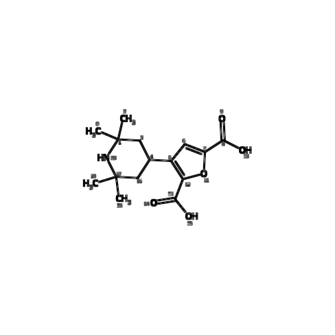 CC1(C)CC(c2cc(C(=O)O)oc2C(=O)O)CC(C)(C)N1